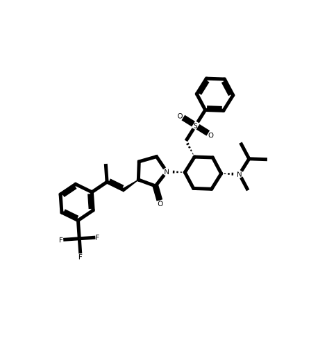 C/C(=C\[C@H]1CCN([C@H]2CC[C@@H](N(C)C(C)C)C[C@H]2CS(=O)(=O)c2ccccc2)C1=O)c1cccc(C(F)(F)F)c1